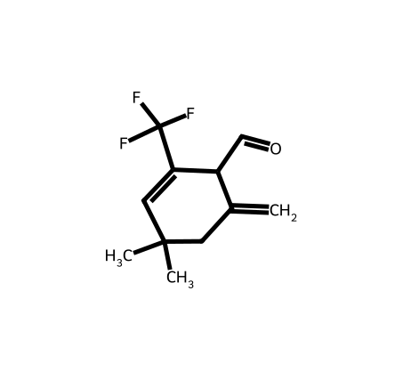 C=C1CC(C)(C)C=C(C(F)(F)F)C1C=O